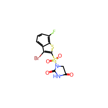 O=C1CN(S(=O)(=O)c2sc3c(F)cccc3c2Br)C(=O)N1